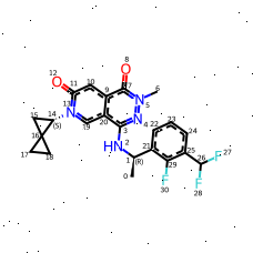 C[C@@H](Nc1nn(C)c(=O)c2cc(=O)n([C@H]3CC34CC4)cc12)c1cccc(C(F)F)c1F